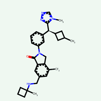 CC1CC([C@@H](c2cccc(N3Cc4c(cc(CNC5(C)CCC5)cc4C(F)(F)F)C3=O)c2)c2nncn2C)C1